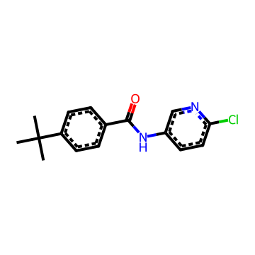 CC(C)(C)c1ccc(C(=O)Nc2ccc(Cl)nc2)cc1